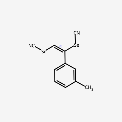 Cc1cccc(/C(=C\[Se]C#N)[Se]C#N)c1